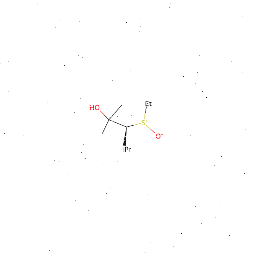 CC[S+]([O-])[C@@H](C(C)C)C(C)(C)O